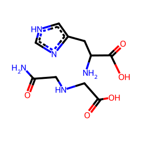 NC(=O)CNCC(=O)O.NC(Cc1c[nH]cn1)C(=O)O